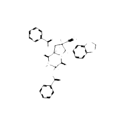 CN1C(=O)[C@@]2(SC(=O)c3ccccc3)C[C@](C)(C#N)[C@H](c3ccc4c(c3)OCO4)N2C(=O)[C@]1(C)SC(=O)c1ccccc1